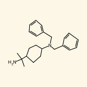 CC(C)(N)C1CCC(N(Cc2ccccc2)Cc2ccccc2)CC1